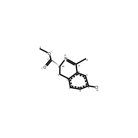 COC(=O)[C@H]1Cc2ccc(Cl)cc2C(C)=N1